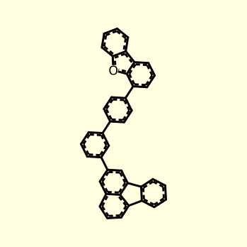 c1cc(-c2ccc(-c3cccc4c3oc3ccccc34)cc2)cc(-c2cc3c4c(cccc4c2)-c2ccccc2-3)c1